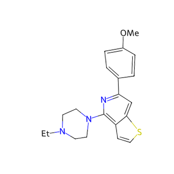 CCN1CCN(c2nc(-c3ccc(OC)cc3)cc3sccc23)CC1